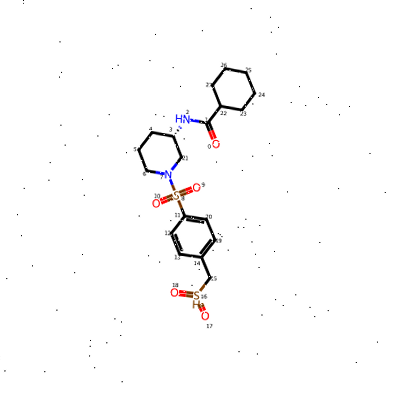 O=C(N[C@H]1CCCN(S(=O)(=O)c2ccc(C[SH](=O)=O)cc2)C1)C1CCCCC1